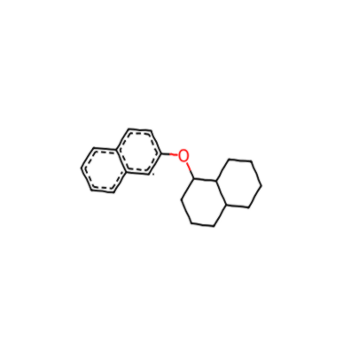 [c]1c(OC2CCCC3CCCCC32)ccc2ccccc12